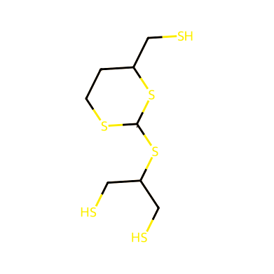 SCC(CS)S[C]1SCCC(CS)S1